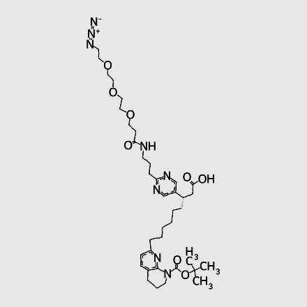 CC(C)(C)OC(=O)N1CCCc2ccc(CCCCCC[C@@H](CC(=O)O)c3cnc(CCCNC(=O)CCOCCOCCOCCN=[N+]=[N-])nc3)nc21